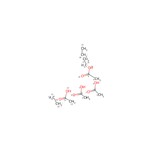 CC(=O)O.CC(=O)O.CC(=O)O.CC(=O)O.[CH2]C.[CH2]C.[CH2]C